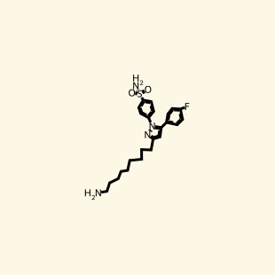 NCCCCCCCCCc1cc(-c2ccc(F)cc2)n(-c2ccc(S(N)(=O)=O)cc2)n1